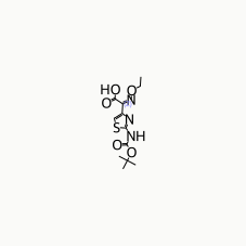 CCO/N=C(\C(=O)O)c1csc(NC(=O)OC(C)(C)C)n1